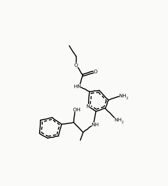 CCOC(=O)Nc1cc(N)c(N)c(NC(C)C(O)c2ccccc2)n1